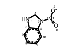 O=[N+]([O-])N1CNc2ccccc21